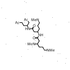 CNCCCC(CC(=O)NC(CCCNC)CC(=O)NC(CCC(C)=O)CC(C)=O)NC